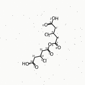 O=C(O)CC(Cl)CC(=O)OC(=O)CC(Cl)CC(=O)O